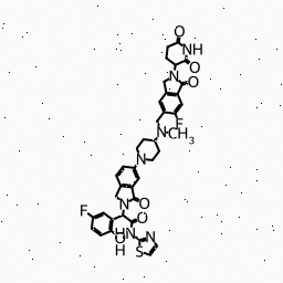 CN(Cc1cc2c(cc1F)C(=O)N(C1CCC(=O)NC1=O)C2)C1CCN(c2ccc3c(c2)C(=O)N(C(C(=O)Nc2nccs2)c2cc(F)ccc2O)C3)CC1